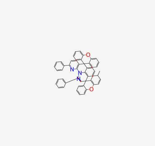 CC1C=CC2=C(C1)C1(c3ccccc3O2)c2ccc(-c3ccccc3)nc2N2c3nc(-c4ccccc4)ccc3C3(c4ccccc4Oc4ccccc43)c3cccc1c32